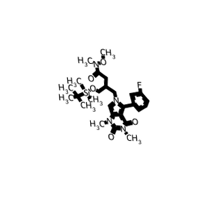 CON(C)C(=O)CC(CO[Si](C)(C)C(C)(C)C)Cn1cc2c(c1-c1cccc(F)c1)c(=O)n(C)c(=O)n2C